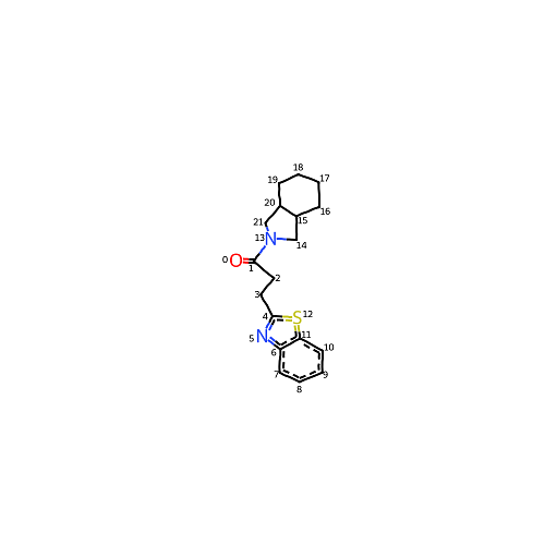 O=C(CCc1nc2ccccc2s1)N1CC2CCCCC2C1